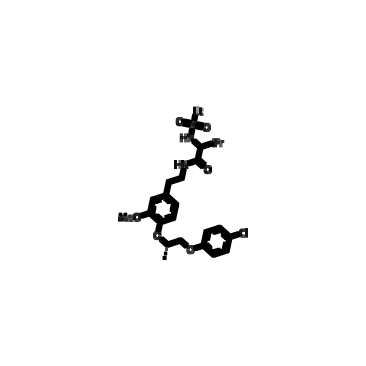 CCS(=O)(=O)NC(C(=O)NCCc1ccc(O[C@@H](C)COc2ccc(Cl)cc2)c(OC)c1)C(C)C